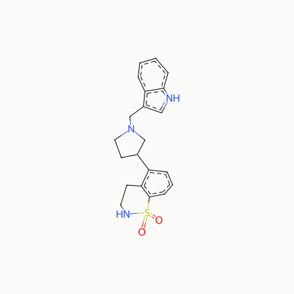 O=S1(=O)NCCc2c(C3CCN(Cc4c[nH]c5ccccc45)C3)cccc21